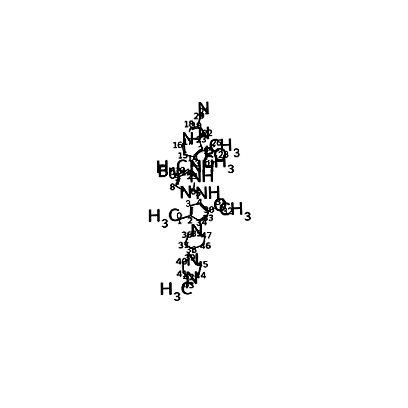 CCc1cc(NC2=NC=C(Br)C(C)(Nc3ccn4cc(C#N)nc4c3P(C)(C)=O)N2)c(OC)cc1N1CCC(N2CCN(C)CC2)CC1